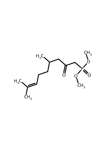 COP(=O)(CC(=O)CC(C)CCC=C(C)C)OC